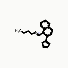 CCCC/N=C/c1c(C2=CC=CC2)ccc2ccccc12